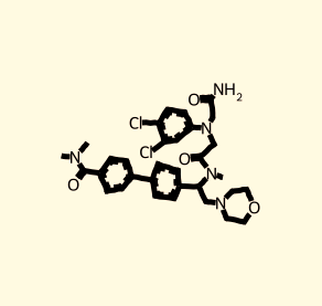 CN(C)C(=O)c1ccc(-c2ccc(C(CN3CCOCC3)N(C)C(=O)CN(CC(N)=O)c3ccc(Cl)c(Cl)c3)cc2)cc1